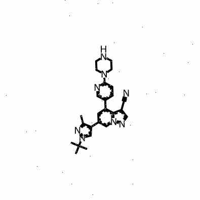 Cc1nn(C(C)(C)C)cc1-c1cc(-c2ccc(N3CCNCC3)nc2)c2c(C#N)cnn2c1